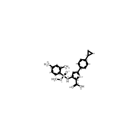 COP(=O)(Nc1cc(-c2ccc(C3CC3)cc2)sc1C(=O)O)c1ccc(C)cc1C